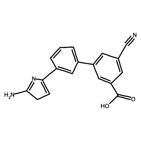 N#Cc1cc(C(=O)O)cc(-c2cccc(C3=CCC(N)=N3)c2)c1